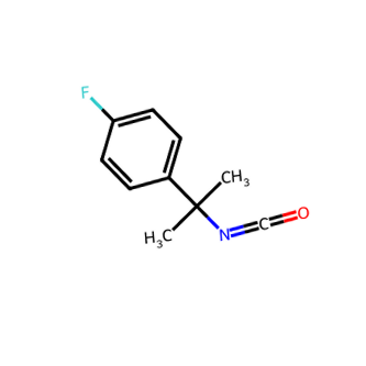 CC(C)(N=C=O)c1ccc(F)cc1